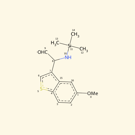 COc1ccc2scc(C([C]=O)N[Si](C)(C)C)c2c1